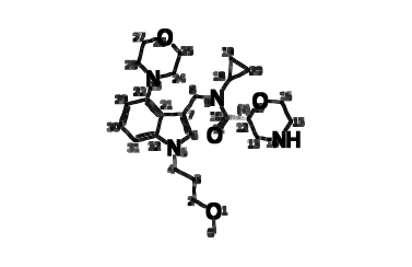 COCCCn1cc(CN(C(=O)[C@H]2CNCCO2)C2CC2)c2c(N3CCOCC3)cccc21